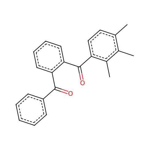 Cc1ccc(C(=O)c2ccccc2C(=O)c2ccccc2)c(C)c1C